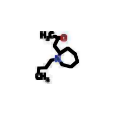 CCCCN1CCCCCC1CC(C)=O